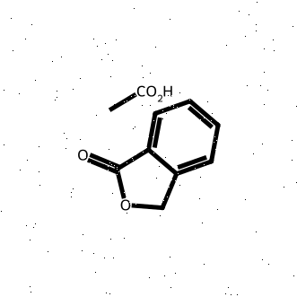 CC(=O)O.O=C1OCc2ccccc21